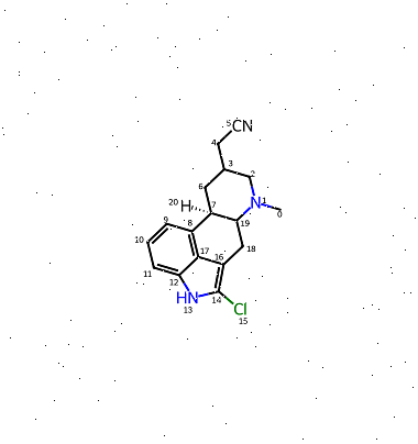 CN1CC(CC#N)C[C@@H]2c3cccc4[nH]c(Cl)c(c34)CC21